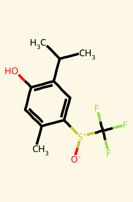 Cc1cc(O)c(C(C)C)cc1[S+]([O-])C(F)(F)F